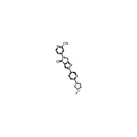 N#Cc1cc(N2Cc3nn(-c4ccc(N5CC[C@H](F)C5)nc4)cc3C2=O)ccn1